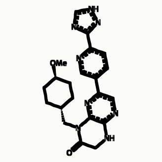 CO[C@H]1CC[C@H](CN2C(=O)CNc3ncc(-c4ccc(-c5nc[nH]n5)nc4)nc32)CC1